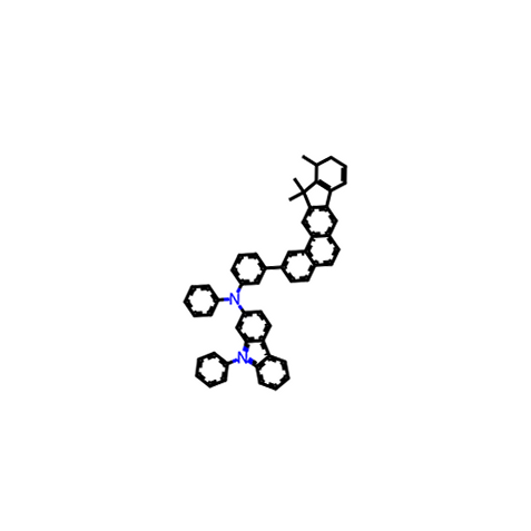 CC1CC=CC2=C1C(C)(C)c1cc3c(ccc4ccc(-c5cccc(N(c6ccccc6)c6ccc7c8ccccc8n(-c8ccccc8)c7c6)c5)cc43)cc12